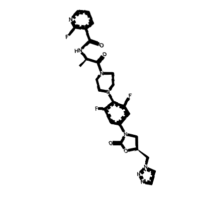 C[C@@H](NC(=O)c1cccnc1F)C(=O)N1CCN(c2c(F)cc(N3C[C@@H](Cn4ccnn4)OC3=O)cc2F)CC1